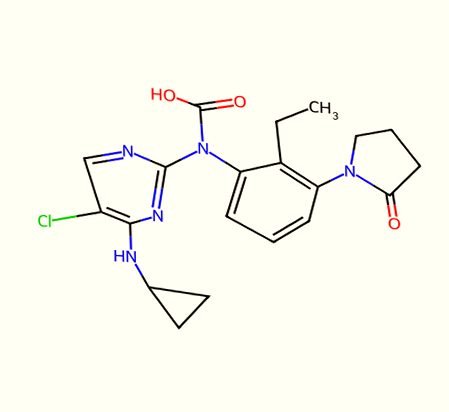 CCc1c(N2CCCC2=O)cccc1N(C(=O)O)c1ncc(Cl)c(NC2CC2)n1